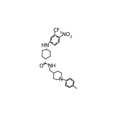 Cc1ccc(N2CCC(CNC(=O)[C@H]3CC[C@@H](Nc4ccc([N+](=O)[O-])c(C(F)(F)F)c4)CC3)CC2)cc1